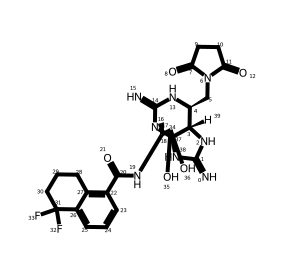 N=C1N[C@H]2[C@H](CN3C(=O)CCC3=O)NC(=N)N3CC(NC(=O)c4cccc5c4CCCC5(F)F)C(O)(O)C23N1